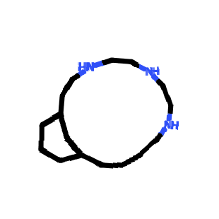 C1CCC2CCCC(CCNCCNCCNC1)C2